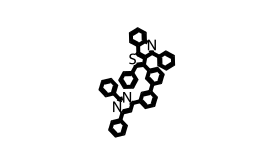 c1ccc(-c2cc(-c3cccc(-c4cccc(-c5c(-c6ccccc6)sc6c5c(-c5ccccc5)nc5ccccc56)c4)c3)nc(-c3ccccc3)n2)cc1